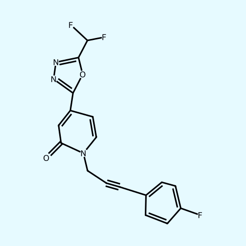 O=c1cc(-c2nnc(C(F)F)o2)ccn1CC#Cc1ccc(F)cc1